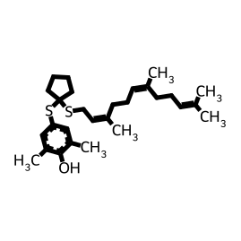 CC(C)=CCCC(C)=CCCC(C)=CCSC1(Sc2cc(C)c(O)c(C)c2)CCCC1